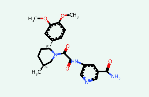 COc1ccc([C@H]2CC[C@H](C)CN2C(=O)C(=O)Nc2cncc(C(N)=O)c2)cc1OC